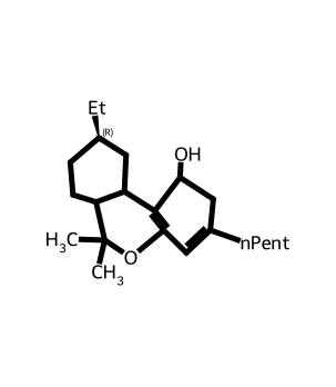 CCCCCC1=CC2=C(C(O)C1)C1C[C@H](CC)CCC1C(C)(C)O2